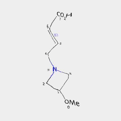 COC1CN(C/C=C/C(=O)O)C1